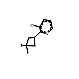 FC1(F)CC(c2ncccc2Cl)C1